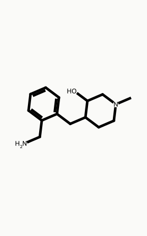 CN1CCC(Cc2ccccc2CN)C(O)C1